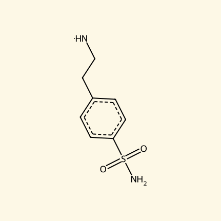 [NH]CCc1ccc(S(N)(=O)=O)cc1